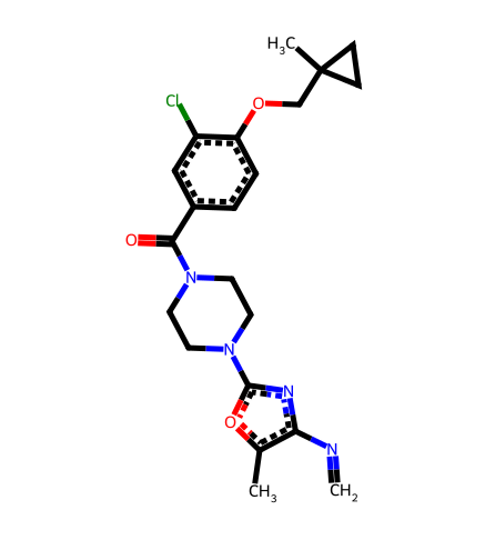 C=Nc1nc(N2CCN(C(=O)c3ccc(OCC4(C)CC4)c(Cl)c3)CC2)oc1C